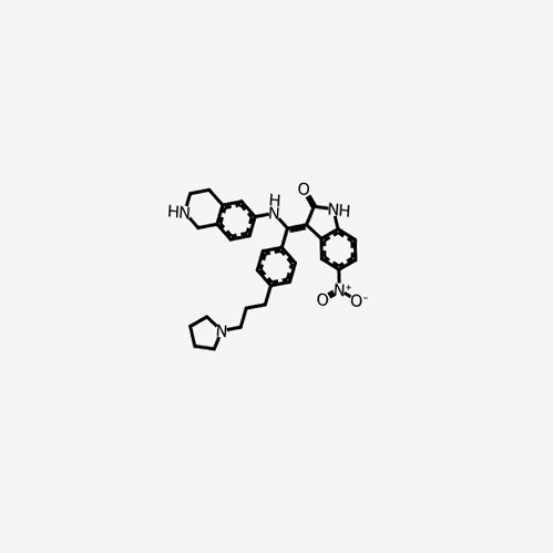 O=C1Nc2ccc([N+](=O)[O-])cc2/C1=C(/Nc1ccc2c(c1)CCNC2)c1ccc(CCCN2CCCC2)cc1